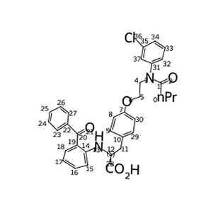 CCCC(=O)N(CCOc1ccc(C[C@H](Nc2ccccc2C(=O)c2ccccc2)C(=O)O)cc1)c1cccc(Cl)c1